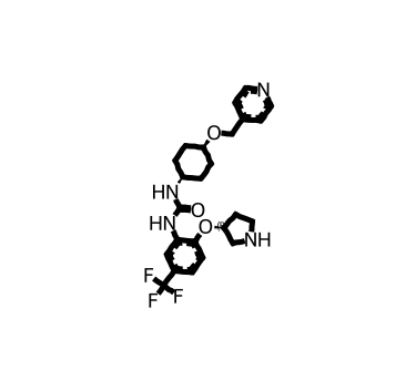 O=C(Nc1cc(C(F)(F)F)ccc1O[C@@H]1CCNC1)N[C@H]1CC[C@H](OCc2ccncc2)CC1